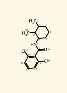 CC1CCCC(NC(=O)c2c(Cl)cccc2Cl)C1C